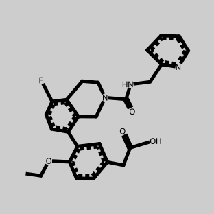 CCOc1ccc(CC(=O)O)cc1-c1ccc(F)c2c1CN(C(=O)NCc1ccccn1)CC2